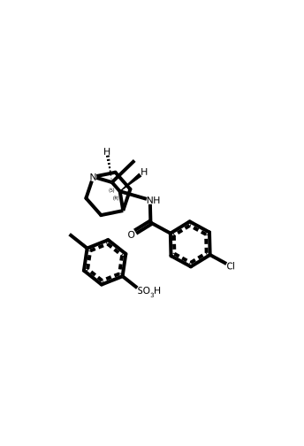 C[C@H]1[C@H](NC(=O)c2ccc(Cl)cc2)C2CCN1CC2.Cc1ccc(S(=O)(=O)O)cc1